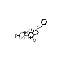 COC(=O)[C@H](C)NC(=O)c1nc(Cl)c2ccc(OCc3ccccc3)cc2c1O